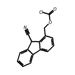 N#CC1c2ccccc2-c2cccc(COC(=O)Cl)c21